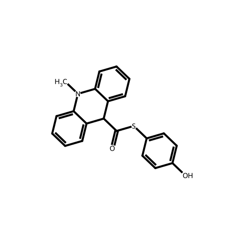 CN1c2ccccc2C(C(=O)Sc2ccc(O)cc2)c2ccccc21